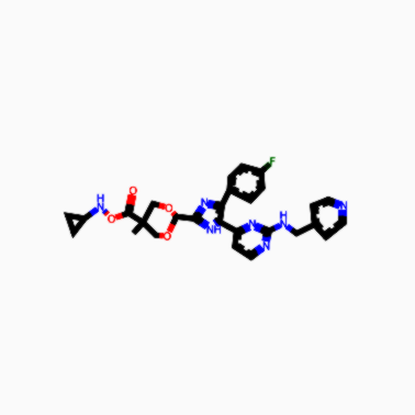 CC1(C(=O)ONC2CC2)COC(c2nc(-c3ccc(F)cc3)c(-c3ccnc(NCc4ccncc4)n3)[nH]2)OC1